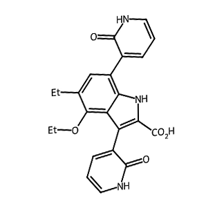 CCOc1c(CC)cc(-c2ccc[nH]c2=O)c2[nH]c(C(=O)O)c(-c3ccc[nH]c3=O)c12